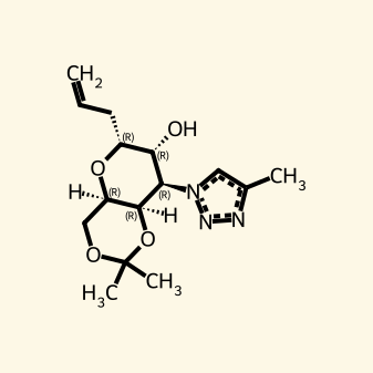 C=CC[C@H]1O[C@@H]2COC(C)(C)O[C@@H]2[C@H](n2cc(C)nn2)[C@H]1O